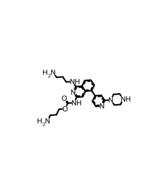 NCCCNc1nc(NC(=O)OCCCN)cc2c(-c3ccnc(N4CCNCC4)c3)cccc12